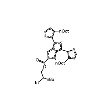 CCCCCCCCc1ccsc1-c1sc(-c2sccc2CCCCCCCC)c2sc(C(=O)OCC(CC)CCCC)cc12